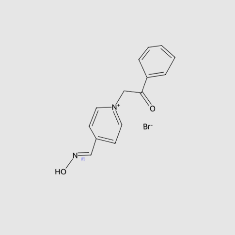 O=C(C[n+]1ccc(/C=N/O)cc1)c1ccccc1.[Br-]